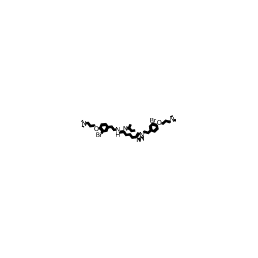 CC/C(C)=N\C(=C/NCCc1ccc(OCCCN(C)C)c(Br)c1)CCCc1cn(CCc2ccc(OCCCN(C)C)c(Br)c2)nn1